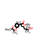 COC(=O)C(C)Oc1cccc(C(C)(CCCC(C)(C)CO)C(=O)OC(C)(C)C)c1